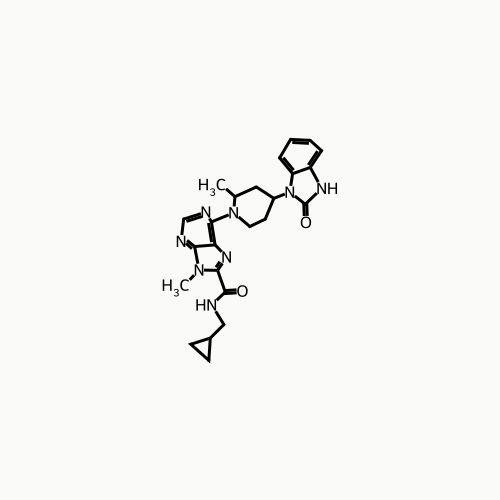 CC1CC(n2c(=O)[nH]c3ccccc32)CCN1c1ncnc2c1nc(C(=O)NCC1CC1)n2C